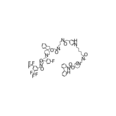 CN(CCN1CCC(OC(=O)Nc2ccccc2-c2ccccc2)CC1)C(=O)CCCCCNc1ccc(CC(=O)N(C)CCCN(C)C(=O)CO[C@H]2Cc3ccccc3C23CCN(CC[C@]2(c4ccc(F)cc4)CN(C(=O)c4cc(C(F)(F)F)cc(C(F)(F)F)c4)CO2)CC3)cc1